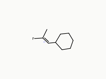 C/C(F)=C\C1CCCCC1